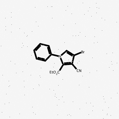 CCOC(=O)c1c(C#N)c(Br)cn1-c1ccccc1